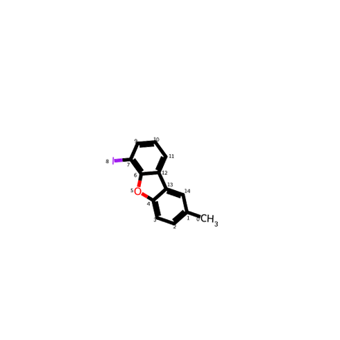 Cc1ccc2oc3c(I)cccc3c2c1